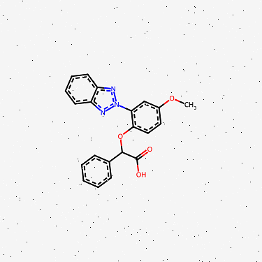 COc1ccc(OC(C(=O)O)c2ccccc2)c(-n2nc3ccccc3n2)c1